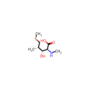 CN[C@H](C(=O)O)[C@H](O)[C@H](C)CSC